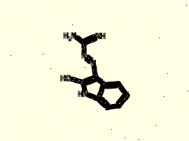 N=C(N)N=Nc1c(O)[nH]c2ccccc12